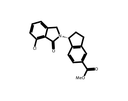 COC(=O)c1ccc2c(c1)CC[C@H]2N1Cc2cccc(Cl)c2C1=O